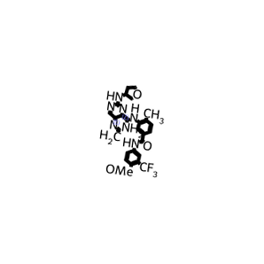 C=C/N=C1/C=NC(NC2CCOC2)=N/C1=C(/N)Nc1cc(C(=O)Nc2ccc(OC)c(C(F)(F)F)c2)ccc1C